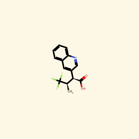 C[C@H]([C@H](C(=O)O)c1cnc2ccccc2c1)C(F)(F)F